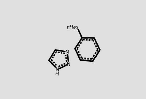 CCCCCCc1ccccc1.c1c[nH]nn1